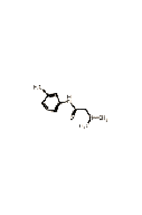 CN(C)CC(=O)Nc1cccc(C(F)(F)F)c1